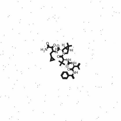 C=C(NC(=O)[C@@H](NC(=O)N[C@H](C(=O)N1C[C@H]2[C@@H]([C@H]1C(=O)NC(CC1CC1)C(=O)C(N)=O)C2(C)C)C(C)(C)C)C(=C)C)c1ccccc1